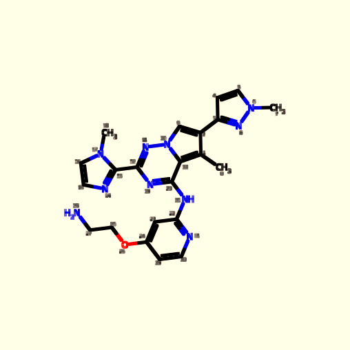 Cc1c(-c2ccn(C)n2)cn2nc(-c3nccn3C)nc(Nc3cc(OCCN)ccn3)c12